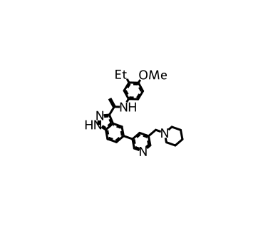 C=C(Nc1ccc(OC)c(CC)c1)c1n[nH]c2ccc(-c3cncc(CN4CCCCC4)c3)cc12